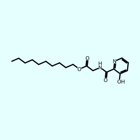 CCCCCCCCCCOC(=O)CNC(=O)c1ncccc1O